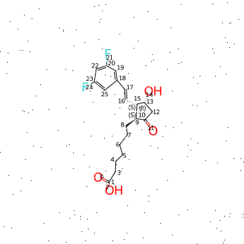 O=C(O)CCCCCC[C@@H]1C(=O)C[C@@H](O)[C@H]1C=Cc1cc(F)cc(F)c1